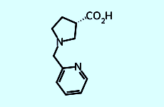 O=C(O)[C@H]1CCN(Cc2ccccn2)C1